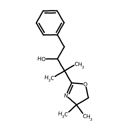 CC1(C)COC(C(C)(C)C(O)Cc2ccccc2)=N1